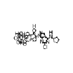 O=P(O)(O)C(F)(CO)S(=O)(=O)C[C@H]1O[C@@H](n2ncc3c(NC4CCCC4)nc(Cl)nc32)[C@H](O)[C@@H]1O